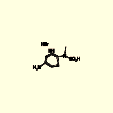 Br.CN(c1ccc(N)cc1)S(=O)(=O)O.[KH]